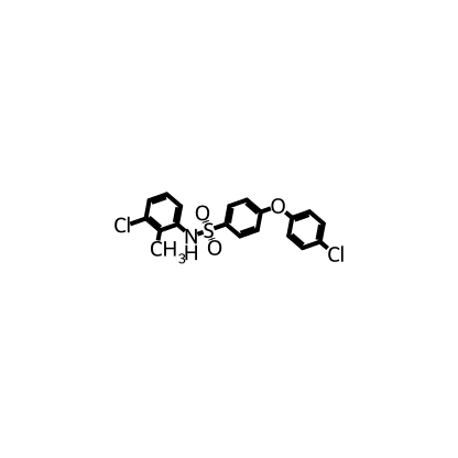 Cc1c(Cl)cccc1NS(=O)(=O)c1ccc(Oc2ccc(Cl)cc2)cc1